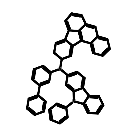 C1=C2C(=CC(N(c3cccc(-c4ccccc4)c3)c3ccc4c5ccccc5n(-c5ccccc5)c4c3)C1)c1c3ccccc3cc3cccc2c13